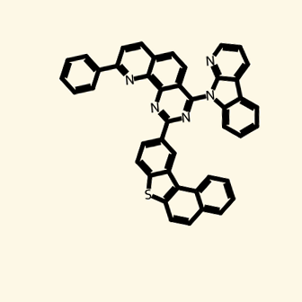 c1ccc(-c2ccc3ccc4c(-n5c6ccccc6c6cccnc65)nc(-c5ccc6sc7ccc8ccccc8c7c6c5)nc4c3n2)cc1